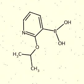 CC(C)Oc1ncccc1B(O)O